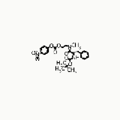 CN(CCOC(=O)Oc1ccc([N+](=O)[O-])cc1)C(=O)[C@H](Cc1ccccc1)NC(=O)OC(C)(C)C